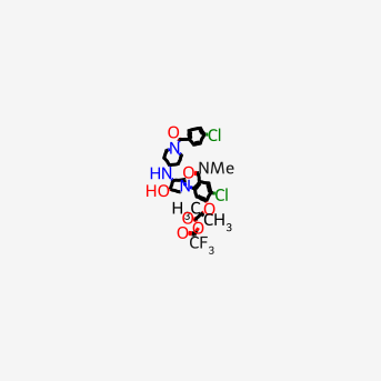 CNC(=O)c1cc(Cl)c(OC(C)(C)C(=O)OC(=O)C(F)(F)F)cc1N1CC(O)C(NC2CCN(C(=O)c3ccc(Cl)cc3)CC2)C1